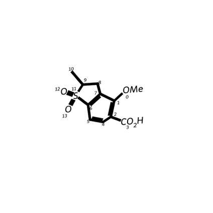 COc1c(C(=O)O)ccc2c1CC(C)S2(=O)=O